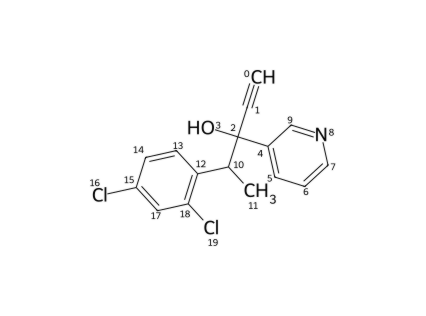 C#CC(O)(c1cccnc1)C(C)c1ccc(Cl)cc1Cl